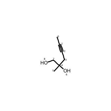 [CH2]C#CCC(C)(O)CO